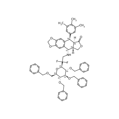 Cc1cc([C@@H]2c3cc4c(cc3[C@@H](NCC(F)(F)[C@@H]3O[C@H](COCc5ccccc5)[C@@H](OCc5ccccc5)[C@H](OCc5ccccc5)[C@H]3OCc3ccccc3)[C@H]3COC(=O)[C@H]23)OCO4)cc(C)c1C